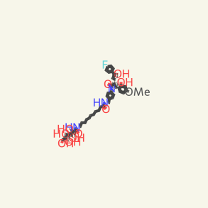 COc1ccc([C@@H]2[C@@H](CC[C@H](O)c3ccc(F)cc3)C(=O)N2c2ccc(CNC(=O)CCCCCCCCCCNC(=O)[C@H](O)[C@@H](O)[C@H](O)[C@H](O)CO)cc2)c(O)c1